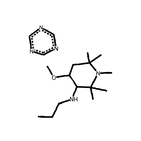 CCCNC1C(OC)CC(C)(C)N(C)C1(C)C.c1ncncn1